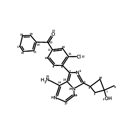 CC1(O)CC(c2nc(-c3ccc(C(=O)c4ccccc4)cc3Cl)c3c(N)nccn23)C1